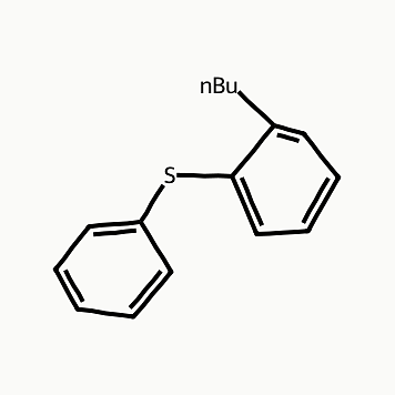 CCCCc1ccccc1Sc1ccccc1